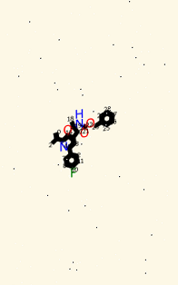 C=C(C)c1nc(-c2ccc(F)cc2)cc2c1OC(C)(NC(=O)OCc1ccccc1)C2